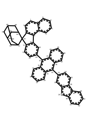 c1ccc2c3c(ccc2c1)C1(c2ccc(-c4c5ccccc5c(-c5ccc6c(c5)sc5ccccc56)c5ccccc45)cc2-3)C2CC3CC(C2)CC1C3